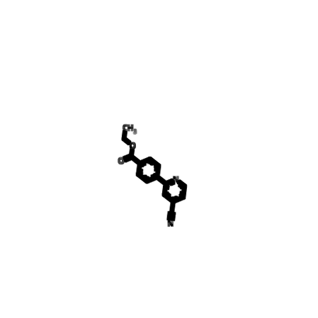 CCOC(=O)c1ccc(-c2cc(C#N)ccn2)cc1